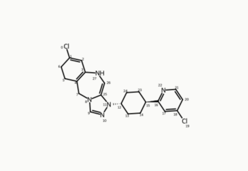 ClC1=CC2=C(CC1)CN1C=NN([C@H]3CC[C@H](c4cc(Cl)ccn4)CC3)C1=CN2